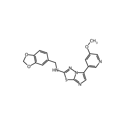 COc1cncc(-c2cnc3sc(NCc4ccc5c(c4)OCO5)nn23)c1